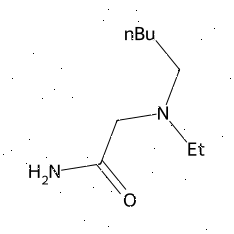 C[CH]CCCN(CC)CC(N)=O